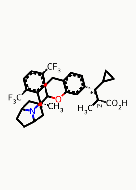 C[C@H](C(=O)O)[C@H](c1ccc2c(c1)OC(C1CC3CCC(C1)N3[C@@H](C)c1cc(C(F)(F)F)ccc1C(F)(F)F)CC2)C1CC1